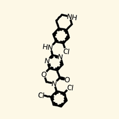 O=C1c2cnc(Nc3cc4c(cc3Cl)CNCC4)nc2OCN1c1c(Cl)cccc1Cl